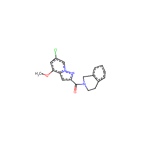 COc1cc(Cl)cn2nc(C(=O)N3CCc4ccccc4C3)cc12